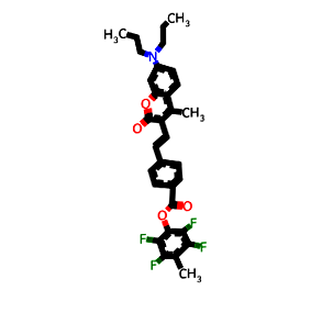 CCCN(CCC)c1ccc2c(C)c(/C=C/c3ccc(C(=O)Oc4c(F)c(F)c(C)c(F)c4F)cc3)c(=O)oc2c1